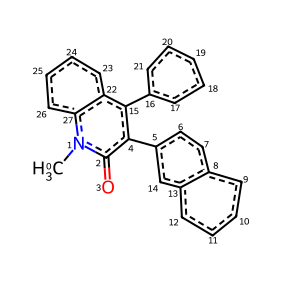 Cn1c(=O)c(-c2ccc3ccccc3c2)c(-c2ccccc2)c2ccccc21